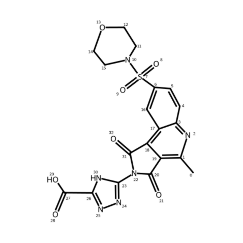 Cc1nc2ccc(S(=O)(=O)N3CCOCC3)cc2c2c1C(=O)N(c1nnc(C(=O)O)[nH]1)C2=O